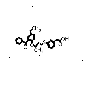 CCc1ccc(OC(C)CCSc2cccc(CC(=O)O)c2)c(C(=O)c2ccccc2)c1